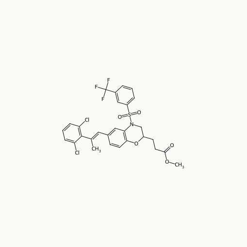 COC(=O)CCC1CN(S(=O)(=O)c2cccc(C(F)(F)F)c2)c2cc(/C=C(\C)c3c(Cl)cccc3Cl)ccc2O1